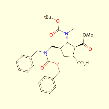 COC(=O)[C@H]1C(C(=O)O)C[C@@H](CN(Cc2ccccc2)C(=O)OCc2ccccc2)[C@@H]1N(C)C(=O)OC(C)(C)C